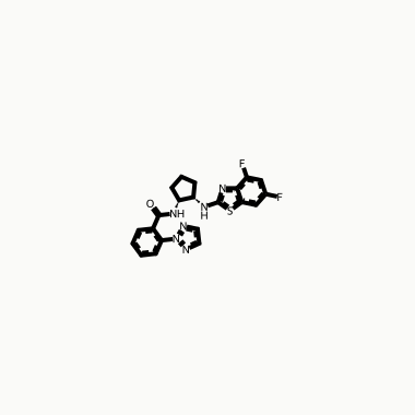 O=C(N[C@@H]1CCC[C@@H]1Nc1nc2c(F)cc(F)cc2s1)c1ccccc1-n1nccn1